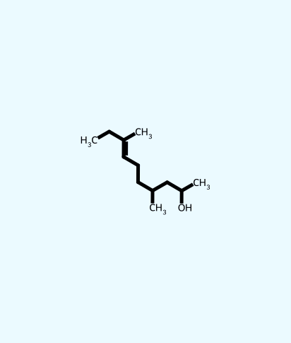 CCC(C)=CCCC(C)CC(C)O